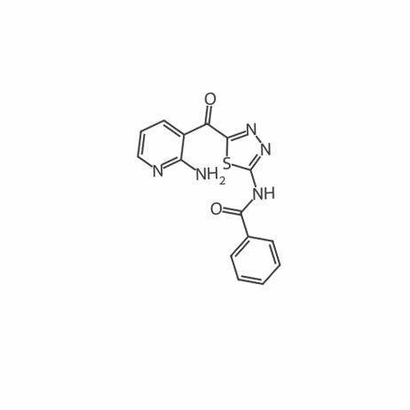 Nc1ncccc1C(=O)c1nnc(NC(=O)c2ccccc2)s1